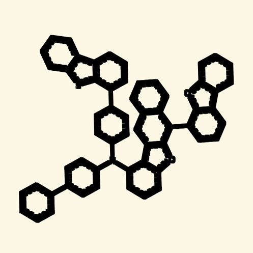 c1ccc(-c2ccc(N(c3ccc(-c4cccc5c4sc4ccccc45)cc3)c3cccc4oc5c(-c6cccc7c6oc6ccccc67)c6ccccc6cc5c34)cc2)cc1